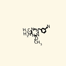 CCOc1ncn(Cc2cccc(C#N)c2)cnc(C)c(N)n1